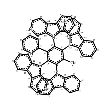 N#Cc1c(-n2c3ccccc3c3ccncc32)c(-n2c3ccccc3c3ccncc32)c(-c2ccccn2)c(-n2c3ccccc3c3ccncc32)c1-n1c2ccccc2c2ccncc21